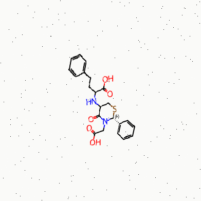 O=C(O)CN1C(=O)C(NC(CCc2ccccc2)C(=O)O)CS[C@@H]1c1ccccc1